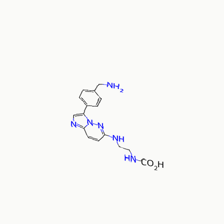 NCc1ccc(-c2cnc3ccc(NCCNC(=O)O)nn23)cc1